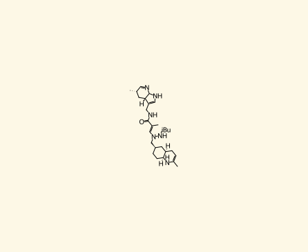 CCC(C)NN(/C=C(\C)C(=O)NCC1=CNC2N=C[C@@H](C)C[C@@H]12)C[C@@H]1CC[C@@H]2NC(C)=CC[C@@H]2C1